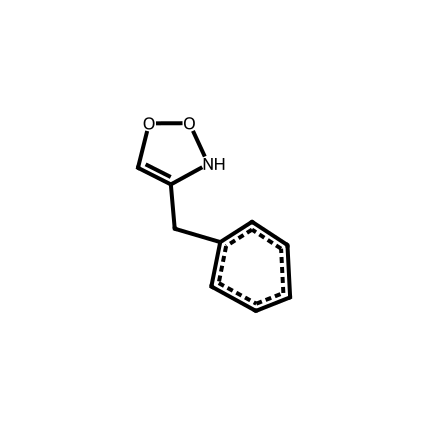 C1=C(Cc2ccccc2)NOO1